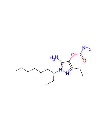 CCCCCCC(CC)n1nc(CC)c(OC(N)=O)c1N